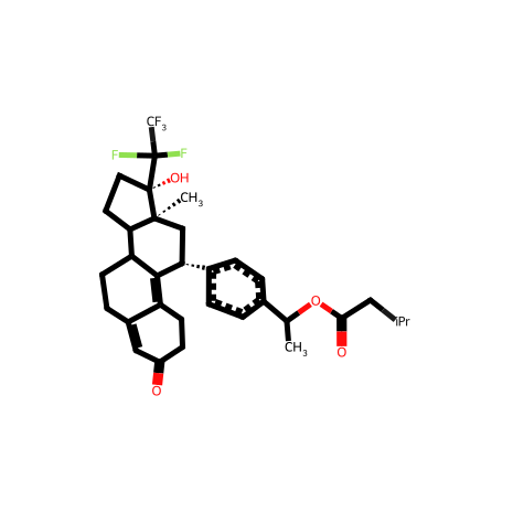 CC(C)CC(=O)OC(C)c1ccc([C@H]2C[C@@]3(C)C(CC[C@@]3(O)C(F)(F)C(F)(F)F)C3CCC4=CC(=O)CCC4=C32)cc1